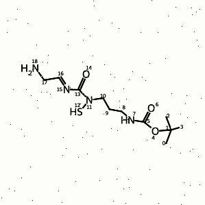 CC(C)(C)OC(=O)NCCCN(S)C(=O)N=CCN